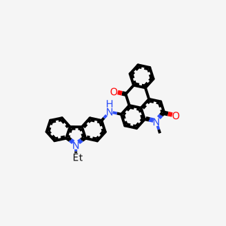 CCn1c2ccccc2c2cc(Nc3ccc4c5c(cc(=O)n4C)-c4ccccc4C(=O)c35)ccc21